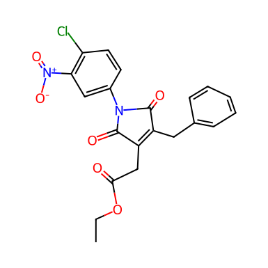 CCOC(=O)CC1=C(Cc2ccccc2)C(=O)N(c2ccc(Cl)c([N+](=O)[O-])c2)C1=O